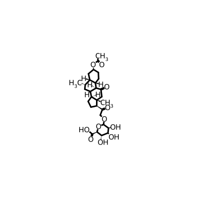 CC(=O)O[C@@H]1CC[C@H]2[C@@H](C1)[C@@H](C)C[C@@H]1[C@@H]2C(=O)C[C@]2(C)[C@@H](C(=O)COC3O[C@H](C(=O)O)[C@@H](O)[C@H](O)[C@H]3O)CC[C@@H]12